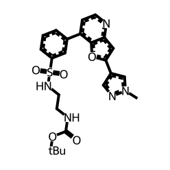 Cn1cc(-c2cc3nccc(-c4cccc(S(=O)(=O)NCCNC(=O)OC(C)(C)C)c4)c3o2)cn1